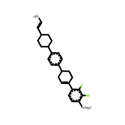 CCC/C=C/C1CCC(c2ccc(C3CC=C(c4ccc(CCCCCCC)c(F)c4F)CC3)cc2)CC1